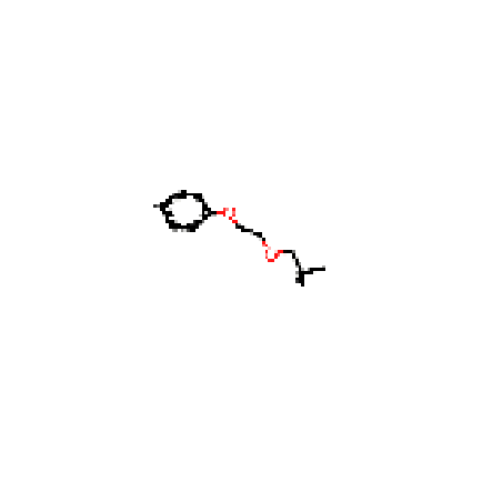 C=C(C)COCCOc1cc[c]cc1